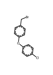 Clc1ccc(Oc2ccc(CBr)cc2)cc1